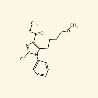 COCCCCc1c(C(=O)OC)nc(Cl)n1-c1ccccc1